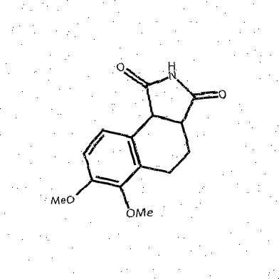 COc1ccc2c(c1OC)CCC1C(=O)NC(=O)C21